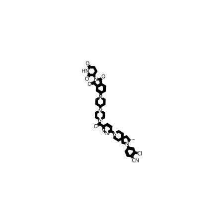 C[C@H]1CC2(CCN(c3ccc(C(=O)N4CCN(C5CCN(c6ccc7c(c6)C(=O)N(C6CCC(=O)NC6=O)C7=O)CC5)CC4)nn3)CC2)CN1c1ccc(C#N)c(Cl)c1